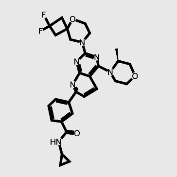 C[C@H]1COCCN1c1nc(N2CCOC3(C2)CC(F)(F)C3)nc2nc(-c3cccc(C(=O)NC4CC4)c3)ccc12